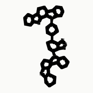 c1ccc2c(c1)sc1c2ccc2c3ccccc3n(-c3ccc(-c4ccc(-n5c6ccccc6c6c7c(ccc65)sc5ccccc57)c5nsnc45)cc3)c21